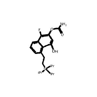 CC(C)[Si](CCc1cccc2c(F)c(OC(N)=O)cc(O)c12)(C(C)C)C(C)C